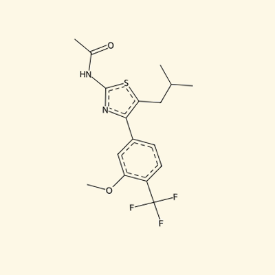 COc1cc(-c2nc(NC(C)=O)sc2CC(C)C)ccc1C(F)(F)F